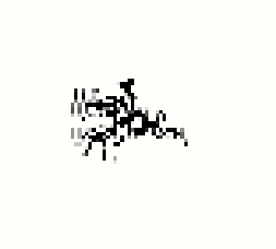 COC(=O)c1cnc(N(C(=O)OC(C)(C)C)C(=O)OC(C)(C)C)c(OCC2CC2)n1